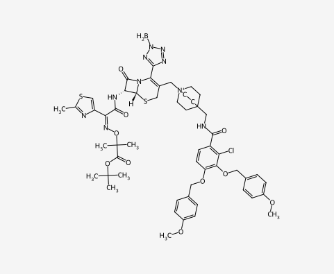 Bn1nnc(C2=C(C[N+]34CCC(CNC(=O)c5ccc(OCc6ccc(OC)cc6)c(OCc6ccc(OC)cc6)c5Cl)(CC3)CC4)CS[C@@H]3[C@H](NC(=O)/C(=N\OC(C)(C)C(=O)OC(C)(C)C)c4csc(C)n4)C(=O)N23)n1